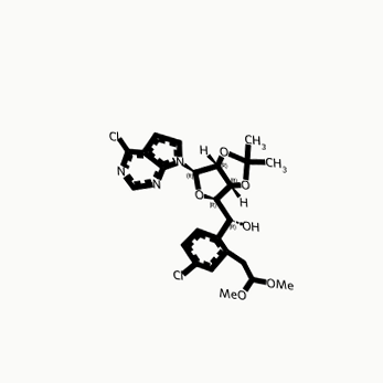 COC(Cc1cc(Cl)ccc1[C@@H](O)[C@H]1O[C@@H](n2ccc3c(Cl)ncnc32)[C@@H]2OC(C)(C)O[C@@H]21)OC